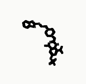 CC(C)c1cc(OS(C)(=O)=O)cc(C(C)C)c1NC(=O)CN1CCN(CCSc2nc3ccccc3[nH]2)CC1